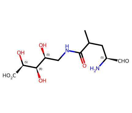 CC(C[C@H](N)C=O)C(=O)NC[C@H](O)[C@@H](O)[C@H](O)C(=O)O